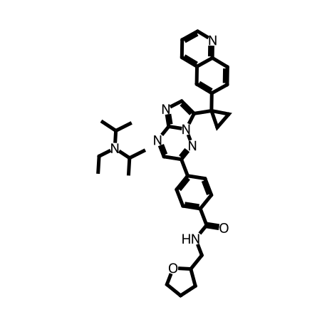 CCN(C(C)C)C(C)C.O=C(NCC1CCCO1)c1ccc(-c2cnc3ncc(C4(c5ccc6ncccc6c5)CC4)n3n2)cc1